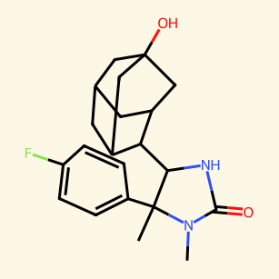 CN1C(=O)NC(C2C3CC4CC2CC(O)(C4)C3)C1(C)c1ccc(F)cc1